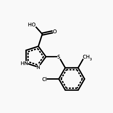 Cc1cccc(Cl)c1Sc1n[nH]cc1C(=O)O